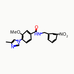 COc1cc(C(=O)NCc2cccc([N+](=O)[O-])c2)ccc1-n1cnc(C)c1